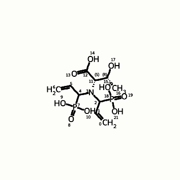 C=CC(N(C(C=C)P(=O)(O)O)[C@H](C(=O)O)[C@@H](C)O)P(=O)(O)O